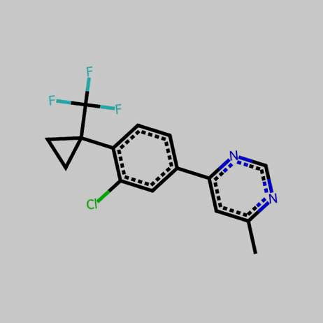 Cc1cc(-c2ccc(C3(C(F)(F)F)CC3)c(Cl)c2)ncn1